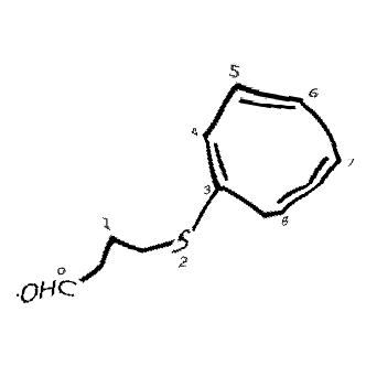 O=[C]CSc1ccccc1